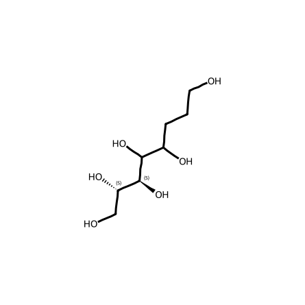 OCCCC(O)C(O)[C@@H](O)[C@@H](O)CO